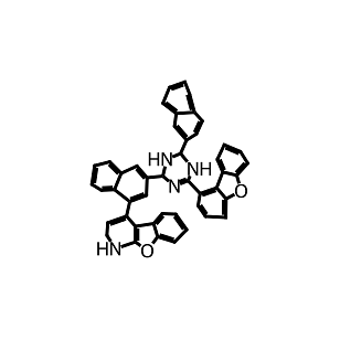 C1=C(c2cc(C3N=C(c4cccc5oc6ccccc6c45)NC(c4ccc5ccccc5c4)N3)cc3ccccc23)c2c(oc3ccccc23)NC1